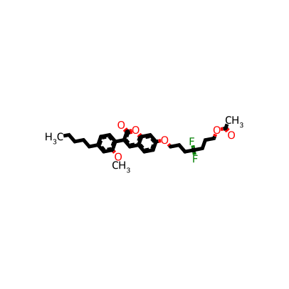 CCCCCc1ccc(-c2cc3ccc(OCCCC(F)(F)CCCOC(C)=O)cc3oc2=O)c(OC)c1